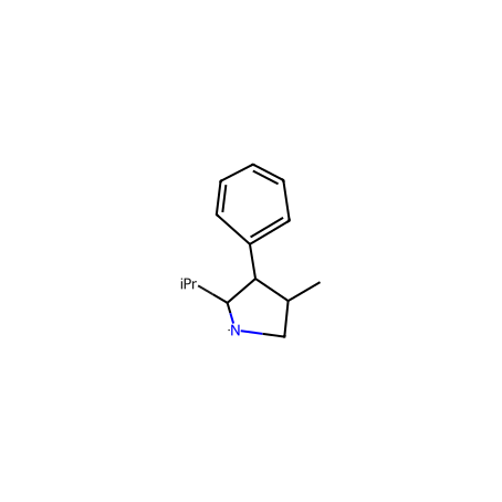 CC(C)C1[N]CC(C)C1c1ccccc1